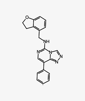 [c]1ccc(-c2cnc(NCc3cccc4c3CCO4)n3cnnc23)cc1